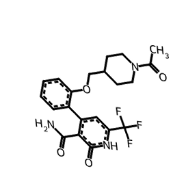 CC(=O)N1CCC(COc2ccccc2-c2cc(C(F)(F)F)[nH]c(=O)c2C(N)=O)CC1